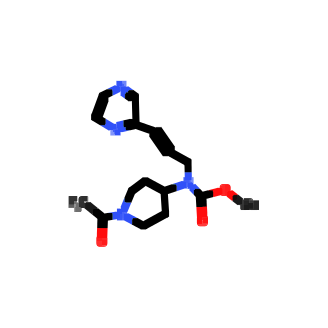 CC(C)(C)OC(=O)N(CC#Cc1cnccn1)C1CCN(C(=O)C(F)(F)F)CC1